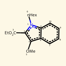 CCCCCCn1c(C(=O)OCC)c(OC)c2ccccc21